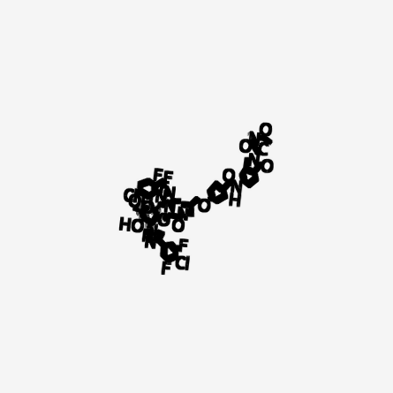 Cc1nc([C@@H]2O[C@H](CO)[C@H](O)[C@H](n3cc(-c4cc(F)c(Cl)c(F)c4)nn3)[C@H]2OCC(=O)N2CC(COc3ccc(C(=O)Nc4ccc5c(c4)CN(C4CCC(=O)N(C)C4=O)C5=O)cc3)C2)n(-c2cc(Cl)ccc2C(F)(F)F)n1